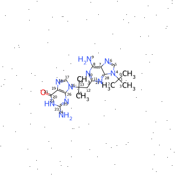 CC(C)(C)n1cnc2c(N)nc(CC(C)(C)n3cnc4c(=O)[nH]c(N)nc43)nc21